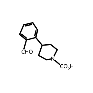 O=Cc1ccccc1C1CCN(C(=O)O)CC1